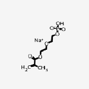 C=C(C)C(=O)OCCOCCOP(=O)([O-])O.[Na+]